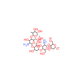 CO[C@H]1OC(CO)[C@H](O[C@@H]2OC(CO)C(O[C@H]3OC(CO)[C@H](O[C@@H]4OC(CO)C(O[C@@H]5O[C@@H](CO)[C@@H](O)C(O)C5C)[C@H](O)C4N)C(O)[C@H]3C)[C@H](O)C2N)C(O)[C@H]1C